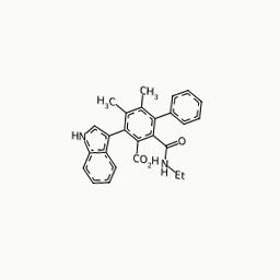 CCNC(=O)c1c(C(=O)O)c(-c2c[nH]c3ccccc23)c(C)c(C)c1-c1ccccc1